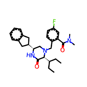 CCC(CC)[C@@H]1C(=O)N[C@H](C2Cc3ccccc3C2)CN1Cc1ccc(F)cc1C(=O)N(C)C